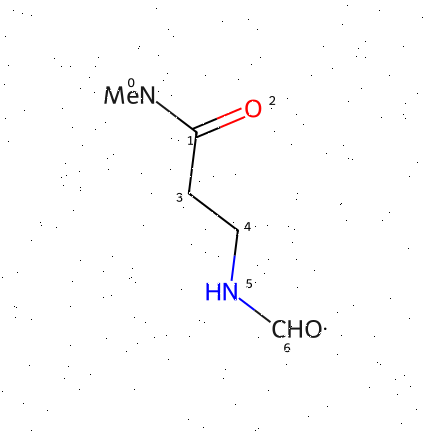 CNC(=O)CCN[C]=O